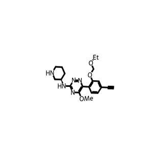 C#Cc1ccc(-c2nnc(N[C@@H]3CCCNC3)nc2OC)c(OCOCC)c1